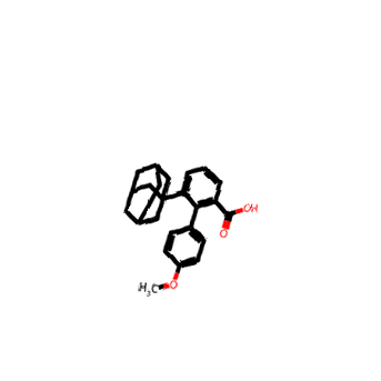 COc1ccc(-c2c(C(=O)O)cccc2C23CC4CC(CC(C4)C2)C3)cc1